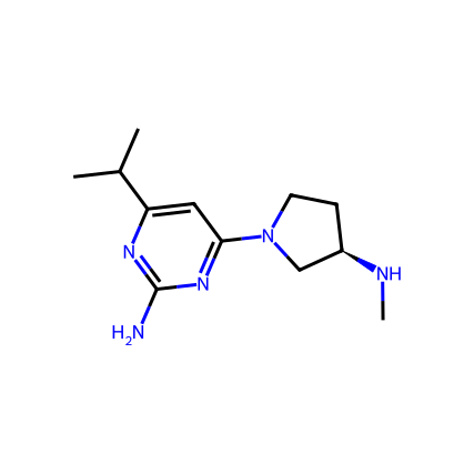 CN[C@@H]1CCN(c2cc(C(C)C)nc(N)n2)C1